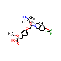 CC(C)(C)N.CCO[C@@H](Cc1ccc(OCC(=O)N(CC)Cc2ccc(OC(F)(F)F)cc2)cc1)C(=O)O